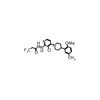 COc1ccc(C)cc1C1CCN(c2ccnc(NNC(=O)CC(F)(F)F)c2Cl)CC1